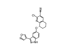 N#Cc1cc2c(nc1Cl)[C@@H](Oc1ccc3[nH]nc(-c4cnoc4)c3c1)CCC2